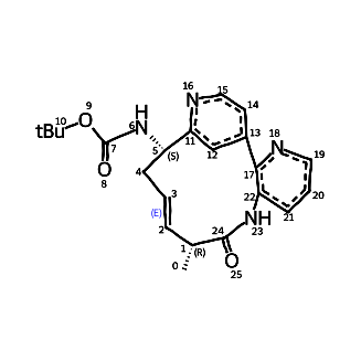 C[C@@H]1/C=C/C[C@H](NC(=O)OC(C)(C)C)c2cc(ccn2)-c2ncccc2NC1=O